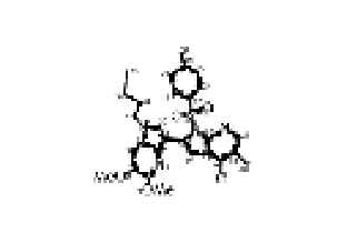 COc1cc2c(nc1OC)c(-c1cc3c(Cl)c(F)cnc3n1S(=O)(=O)c1ccc(C)cc1)cn2CCCI